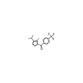 CC(C)c1ccc(C(=O)c2ccc(C(F)(F)F)cc2)n1C